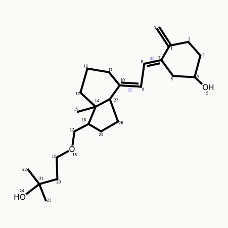 C=C1CCC(O)C/C1=C\C=C1/CCCC2(C)C(COCCC(C)(C)O)CCC12